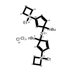 CCCC[C]1([Zr+2][C]2(CCCC)C=CC([Si]3(CC)CCC3)=C2)C=CC([Si]2(CC)CCC2)=C1.[Cl-].[Cl-]